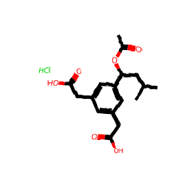 CC(=O)OC(CC(C)C)c1cc(CC(=O)O)cc(CC(=O)O)c1.Cl